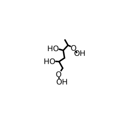 CC(OO)C(O)CC(O)COO